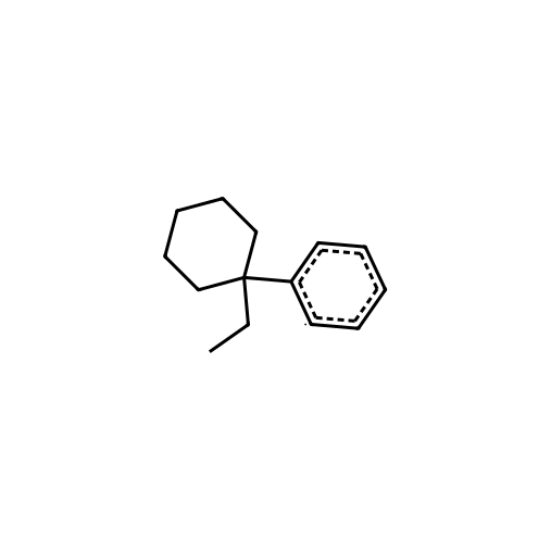 CCC1(c2[c]cccc2)CCCCC1